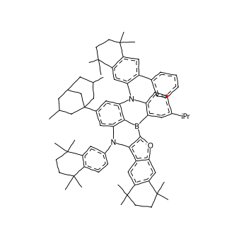 CC1CC2CC(C)CC(c3cc4c5c(c3)N(c3ccc6c(c3)C(C)(C)CCC6(C)C)c3c(oc6cc7c(cc36)C(C)(C)CCC7(C)C)B5c3cc(C(C)C)ccc3N4c3cc4c(cc3-c3ccccc3)C(C)(C)CCC4(C)C)(C1)C2